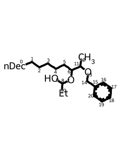 CCCCCCCCCCCCCCCC(OC(O)CC)C(C)OCc1ccccc1